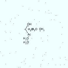 CC(=O)CO.O.O.O.O.O